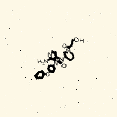 Nc1nccc2c1n(-c1ccc(Oc3ccccc3)cc1)c(=O)n2[C@H]1CCCN(C(=O)CCO)C1